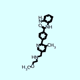 COCCNCc1cnc(-c2ccc(C(=O)Nc3ccccc3N)cc2)c(C)c1